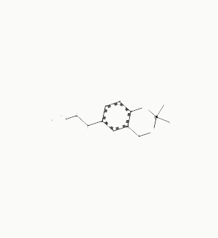 CC1(C)OCc2cc(CCC(=O)O)ccc2O1